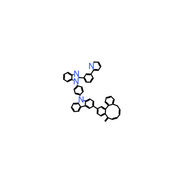 C=C1/C=C\C=C/Cc2ccccc2-c2cc(-c3ccc4c(c3)c3ccccc3n4-c3ccc(-n4c(-c5cccc(-c6ccccn6)c5)nc5ccccc54)cc3)ccc21